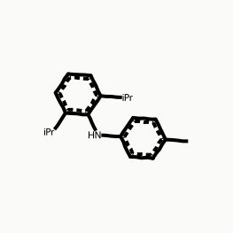 Cc1ccc(Nc2c(C(C)C)cccc2C(C)C)cc1